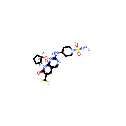 C[C@@]1(O)CCC[C@H]1n1c(=O)c(C(F)F)cc2cnc(NC3CCN(S(N)(=O)=O)CC3)nc21